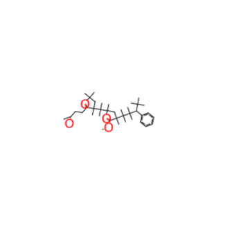 COC(=O)C(C)(CC(C)(C)C(C)(C)C(C)(CC(C)(C)C)C(=O)CCC1CO1)C(C)(C)C(C)(C)C(c1ccccc1)C(C)(C)C